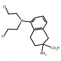 NC1(C(=O)O)CCc2c(cccc2N(CCCl)CCCl)C1